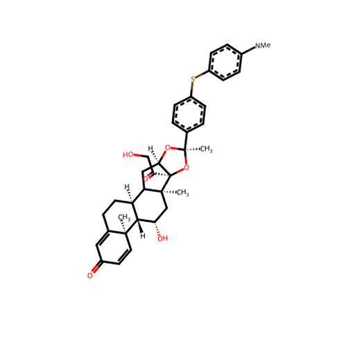 CNc1ccc(Sc2ccc([C@]3(C)O[C@@H]4CC5[C@@H]6CCC7=CC(=O)C=C[C@]7(C)[C@H]6[C@@H](O)C[C@]5(C)[C@]4(C(=O)CO)O3)cc2)cc1